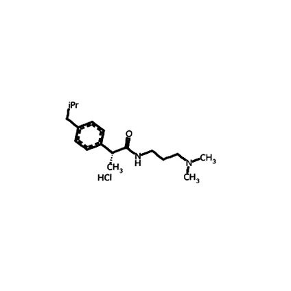 CC(C)Cc1ccc([C@@H](C)C(=O)NCCCN(C)C)cc1.Cl